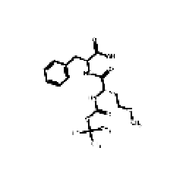 COCC[C@H](NC(=O)OC(C)(C)C)C(=O)N[C@@H](Cc1ccccc1)C(=O)O